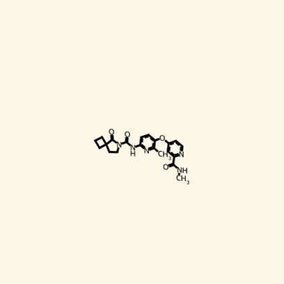 CNC(=O)c1cc(Oc2ccc(NC(=O)N3CCC4(CCC4)C3=O)nc2C)ccn1